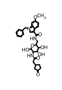 COc1ccc2c(C(=O)NCC3OC(O)C(NC(=O)CC4CCC(=O)C4)C(O)C3O)cn(Cc3ccccc3)c2c1